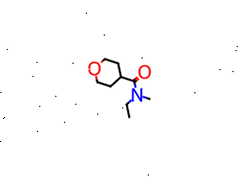 CCN(C)C(=O)C1CCOCC1